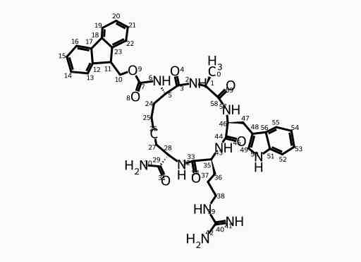 C[C@@H]1NC(=O)[C@@H](NC(=O)OCC2c3ccccc3-c3ccccc32)CCCC[C@@H](C(N)=O)NC(=O)[C@H](CCCNC(=N)N)NC(=O)[C@H](Cc2c[nH]c3ccccc23)NC1=O